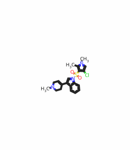 Cc1c(S(=O)(=O)n2cc(C3=CCN(C)CC3)c3ccccc32)c(Cl)cn1C